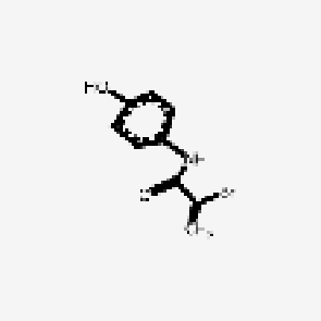 C=C(Br)C(=O)Nc1ccc(O)cc1